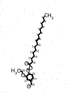 CCCCCCCCC=CCCCCCCCC(=O)OOc1ccc(C=O)cc1OCC